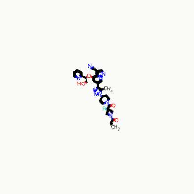 C=CC(=O)N1CC(F)(C(=O)N2CCC(n3nnc(-c4cc(O[C@@H](CO)c5ccccn5)c5c(C#N)cnn5c4)c3C)CC2)C1